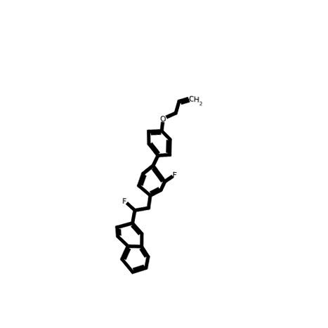 C=CCOc1ccc(-c2ccc(CC(F)c3ccc4ccccc4c3)cc2F)cc1